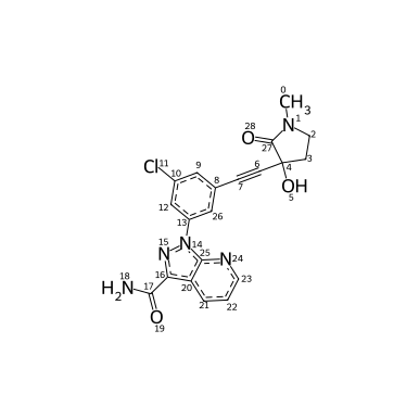 CN1CCC(O)(C#Cc2cc(Cl)cc(-n3nc(C(N)=O)c4cccnc43)c2)C1=O